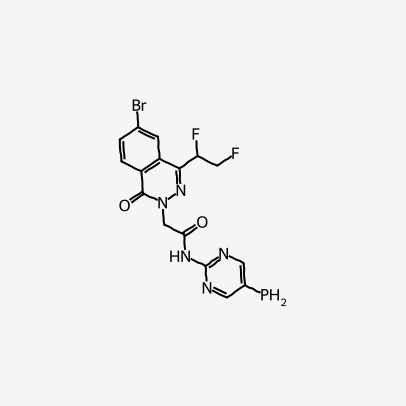 O=C(Cn1nc(C(F)CF)c2cc(Br)ccc2c1=O)Nc1ncc(P)cn1